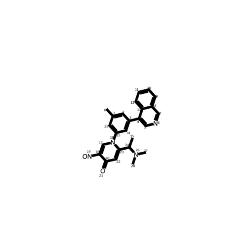 Cc1cc(-c2cncc3ccccc23)cc(-n2cc(N=O)c(=O)cc2C(C)N(C)C)c1